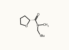 CN(CC(C)(C)C)C(=O)[C@H]1CCCO1